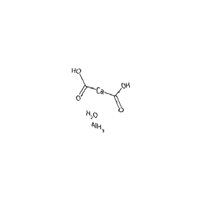 O.O=[C](O)[Ca][C](=O)O.[AlH3]